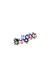 O=C(CC12CC3CC(CC(C3)C1)C2)Nc1cccc2c1CCN(CC1CCOCC1)C2=O